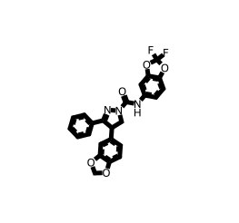 O=C(Nc1ccc2c(c1)OC(F)(F)O2)N1CC(c2ccc3c(c2)OCO3)C(c2ccccc2)=N1